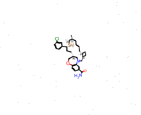 C[C@@H](S)[C@@H](C)CCCC[C@@H]1CC[C@H]1CN1C[C@@H](CCCc2cccc(Cl)c2)COc2ccc(C(N)=O)cc21